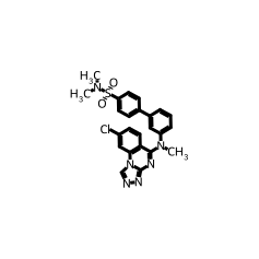 CN(c1cccc(-c2ccc(S(=O)(=O)N(C)C)cc2)c1)c1nc2nncn2c2cc(Cl)ccc12